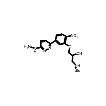 CC(C)(C)NCC(O)COc1cc(-c2ccc(NN)nn2)ccc1[N+](=O)[O-]